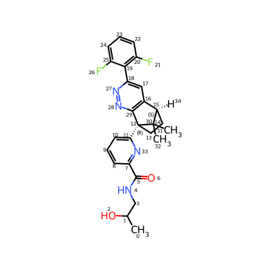 CC(O)CNC(=O)c1cccc([C@]23CC[C@H](c4cc(-c5c(F)cccc5F)nnc42)C3(C)C)n1